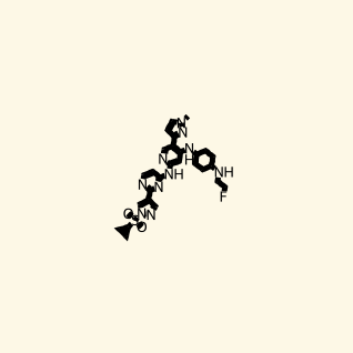 Cn1ccc(-c2cnc(Nc3ccnc(-c4cnn(S(=O)(=O)C5CC5)c4)n3)cc2NC2CCC(NCCF)CC2)n1